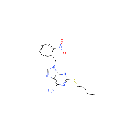 CCCCSc1nc(N)c2ncn(Cc3ccccc3[N+](=O)[O-])c2n1